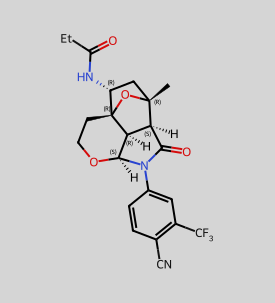 CCC(=O)N[C@@H]1C[C@@]2(C)O[C@@]13CCO[C@H]1[C@@H]3[C@@H]2C(=O)N1c1ccc(C#N)c(C(F)(F)F)c1